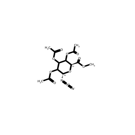 COC(=O)[C@H]1O[C@H](N=[N+]=[N-])C(OC(C)=O)C(OC(C)=O)C1OC(C)=O